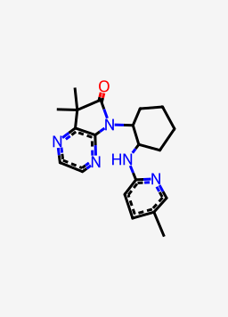 Cc1ccc(NC2CCCCC2N2C(=O)C(C)(C)c3nccnc32)nc1